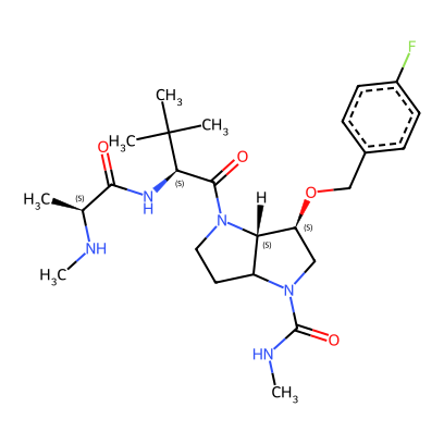 CNC(=O)N1C[C@H](OCc2ccc(F)cc2)[C@@H]2C1CCN2C(=O)[C@@H](NC(=O)[C@H](C)NC)C(C)(C)C